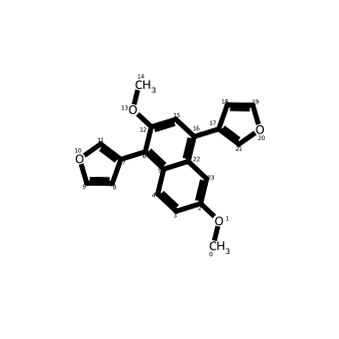 COc1ccc2c(-c3ccoc3)c(OC)cc(-c3ccoc3)c2c1